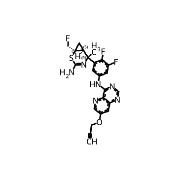 C#CCOc1cnc2c(Nc3cc(F)c(F)c([C@]4(C)N=C(N)S[C@@]5(CF)C[C@H]54)c3)ncnc2c1